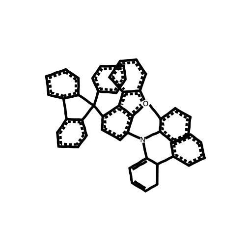 Cc1ccccc1N(C1=CC=CCC1c1ccccc1)c1ccc(C2(c3ccccc3)c3ccccc3-c3ccccc32)c2c1oc1ccccc12